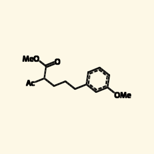 COC(=O)C(CCCc1cccc(OC)c1)C(C)=O